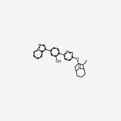 Oc1cc(-c2cnn3ccccc23)ccc1-c1ccc(O[C@@H]2CC3CCCC(N3)[C@@H]2F)nn1